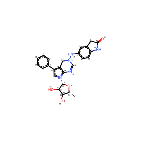 C[C@H]1O[C@@H](n2cc(-c3ccccc3)c3c2N=CN(Nc2ccc4c(c2)CC(=O)N4)C3)[C@H](O)[C@@H]1O